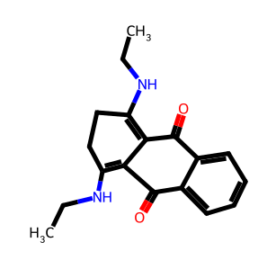 CCNC1=C2C(=O)c3ccccc3C(=O)C2=C(NCC)CC1